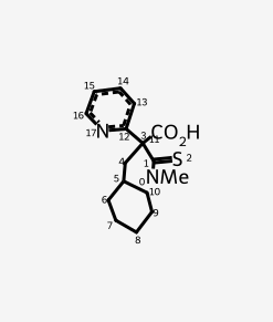 CNC(=S)C(CC1CCCCC1)(C(=O)O)c1ccccn1